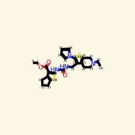 CCOC(=O)c1c(NC(=O)NCc2c(-n3cccc3)sc3c2CCN(CC)C3)sc2c1CCC2